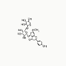 COc1cc2c(c(OC3OC(COC4OCC(O)C(O)C4O)C(O)C(O)C3O)c1)C(=O)CC(c1ccc(O)cc1)O2